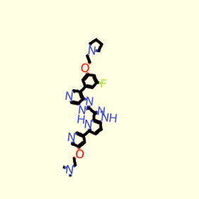 CN(C)CCOc1cncc(-c2ccc3[nH]nc(-c4nc5c(-c6cc(F)cc(OCCN7CCCC7)c6)cncc5[nH]4)c3n2)c1